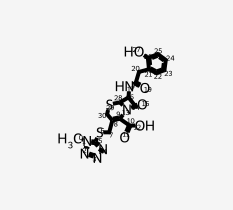 Cn1nnnc1SCC1=C(C(=O)O)N2C(=O)C(NC(=O)Cc3ccccc3O)C2SC1